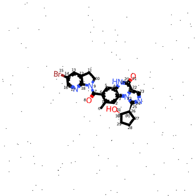 Cc1cc2c(cc1C(=O)N1CCc3cc(Br)cnc31)[nH]c(=O)c1cnc([C@H]3CCC[C@@H]3O)n12